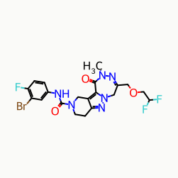 CN1N=C(COCC(F)F)Cn2nc3c(c2C1=O)CN(C(=O)Nc1ccc(F)c(Br)c1)CC3